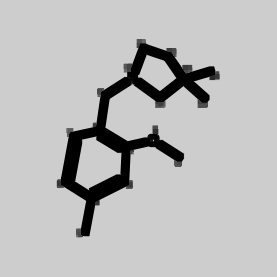 COc1cc(C)ccc1CN1CCC(C)(C)C1